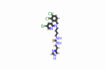 S=C(NCCCCN(Cc1ccc(Cl)c(Cl)c1)c1ccc(Br)cn1)NCCc1c[nH]cn1